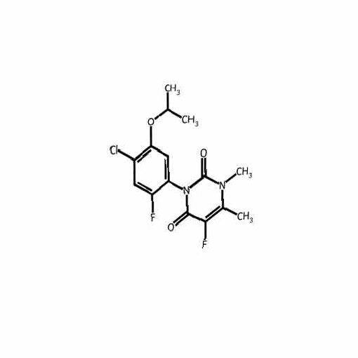 Cc1c(F)c(=O)n(-c2cc(OC(C)C)c(Cl)cc2F)c(=O)n1C